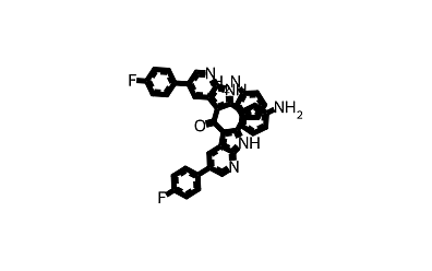 Nc1cccc(-c2[nH]c3ncc(-c4ccc(F)cc4)cc3c2C(=O)c2c(-c3cccc(N)c3)[nH]c3ncc(-c4ccc(F)cc4)cc23)c1